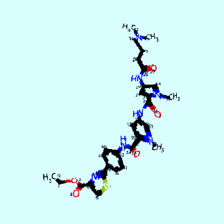 CCOC(=O)c1csc(-c2ccc(NC(=O)c3cc(NC(=O)c4cc(NC(=O)CCCN(C)C)cn4C)cn3C)cc2)n1